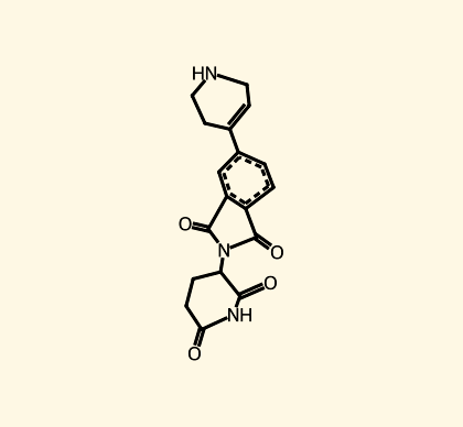 O=C1CCC(N2C(=O)c3ccc(C4=CCNCC4)cc3C2=O)C(=O)N1